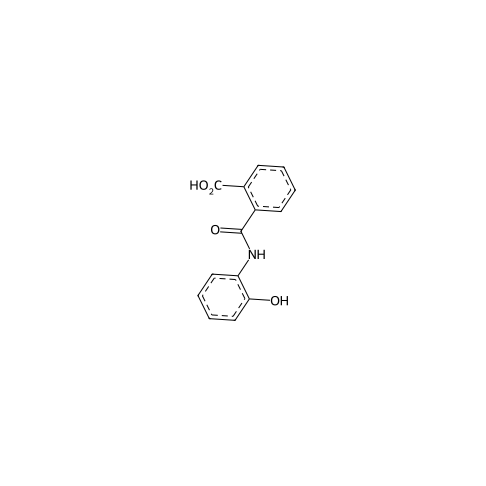 O=C(O)c1ccccc1C(=O)Nc1ccccc1O